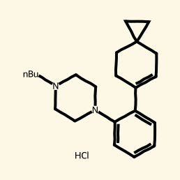 CCCCN1CCN(c2ccccc2C2=CCC3(CC2)CC3)CC1.Cl